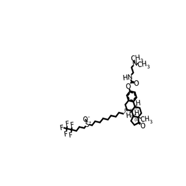 CN(C)CCNC(=O)Oc1ccc2c(c1)C[C@@H](CCCCCCCCC[S+]([O-])CCCC(F)(F)C(F)(F)F)[C@@H]1[C@@H]2CC[C@]2(C)C(=O)CC[C@@H]12